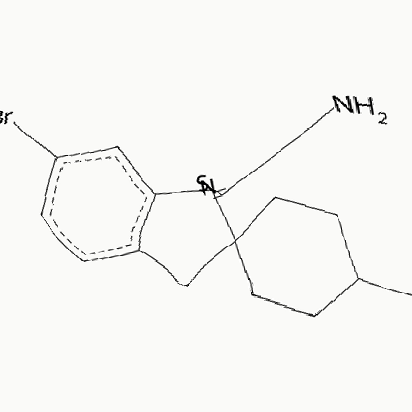 CC1CCC2(CC1)Cc1ccc(Br)cc1C21CSC(N)=N1